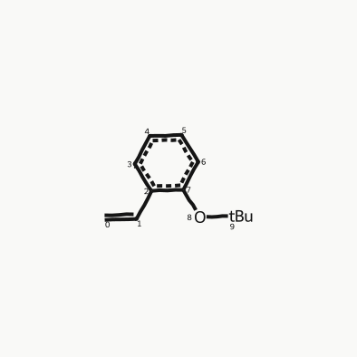 C=Cc1[c]cccc1OC(C)(C)C